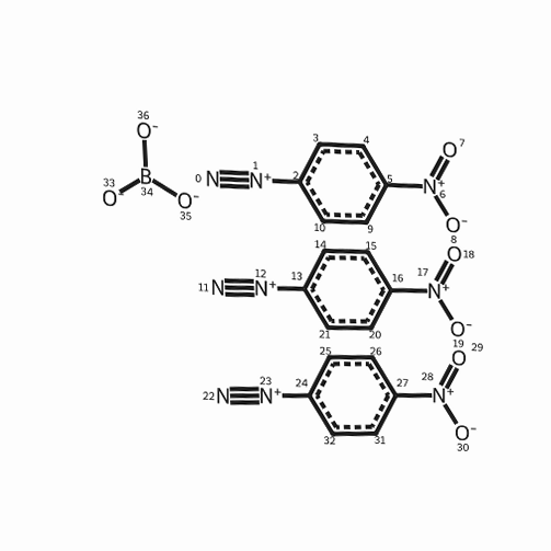 N#[N+]c1ccc([N+](=O)[O-])cc1.N#[N+]c1ccc([N+](=O)[O-])cc1.N#[N+]c1ccc([N+](=O)[O-])cc1.[O-]B([O-])[O-]